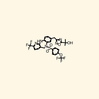 CC(C)(O)c1nc(Cc2ccc3c(c2)N(S(=O)(=O)c2ccc(OC(F)(F)F)cc2)Cc2ccc(C(F)(F)F)nc2N3)no1